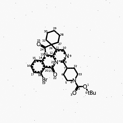 CC(C)(C)OC(=O)N1CCC(c2ncc3c4n(c5cccc(Br)c5c(=O)[n+]24)C(=O)C32CCCCC2)CC1